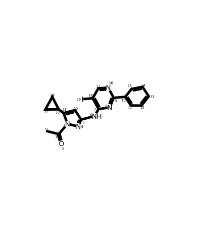 CC(=O)n1nc(Nc2nc(-c3ccccc3)ncc2I)cc1C1CC1